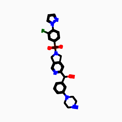 O=S(=O)(c1ccc(-n2cccn2)c(F)c1)N1Cc2cnc(C(O)c3cccc(N4CCNCC4)c3)cc2C1